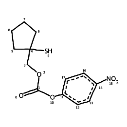 O=C(OCC1(S)CCCC1)Oc1ccc([N+](=O)[O-])cc1